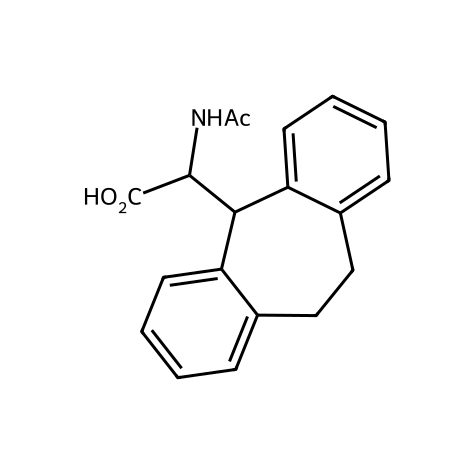 CC(=O)NC(C(=O)O)C1c2ccccc2CCc2ccccc21